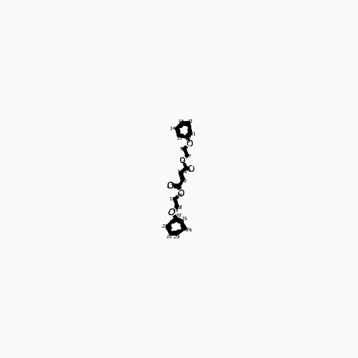 O=C(/C=C/C(=O)OCCOc1ccccc1)OCCOc1ccccc1